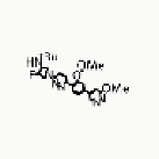 COCOc1cc(-c2cnnc(OC)c2)ccc1-c1ccc(N2CC(F)C(NC(C)(C)C)C2)nn1